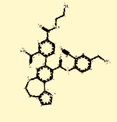 CCCNC(=O)c1ccc(-c2cc3c(cc2C(=O)Nc2ccc(CN)cc2C#N)-c2sccc2CCO3)c(C(=O)O)n1